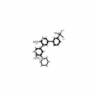 Cc1ncc(-c2cccc(C(F)(F)F)c2)cc1-c1cnc(C)c(N2CCCCC2)c1